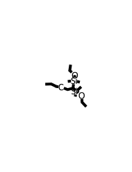 CCCCCC([Si](C)(C)OCC)[Si](C)(C)OCC